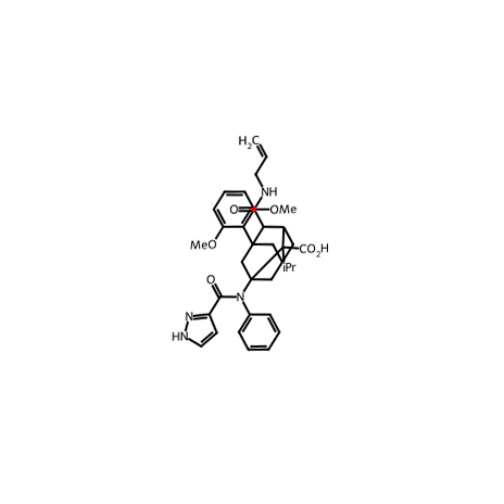 C=CCNC(=O)C1C2CC3CC1(c1c(OC)cccc1OC)CC(N(C(=O)c1cc[nH]n1)c1ccccc1)(C3)C2(C(=O)O)C(C)C